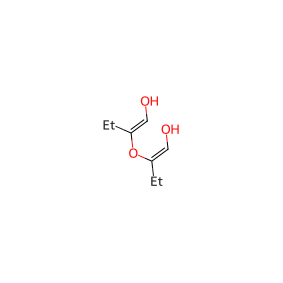 CCC(=CO)OC(=CO)CC